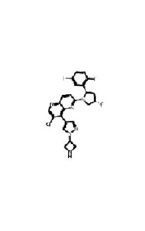 Fc1ccc(F)c([C@H]2C[C@H](F)CN2c2ccc3ncc(Cl)c(-c4cnn(C5CNC5)c4)c3n2)c1